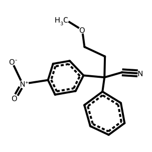 COCCC(C#N)(c1ccccc1)c1ccc([N+](=O)[O-])cc1